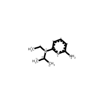 CCN(c1cccc(N)n1)C(C)C